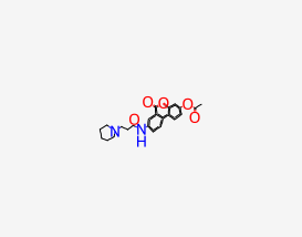 CC(=O)Oc1ccc2c(c1)oc(=O)c1cc(NC(=O)CCN3CCCCC3)ccc12